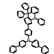 c1ccc(-c2ccc(N(c3ccc(-c4ccccc4)cc3)c3ccc(-c4ccc5c(c4)N(c4ccccc4)c4ccccc4C5(c4ccccc4)c4ccccc4)cc3)cc2)cc1